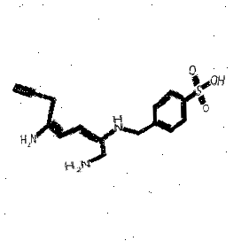 C#CC/C(N)=C\C=C(/CN)NCc1ccc(S(=O)(=O)O)cc1